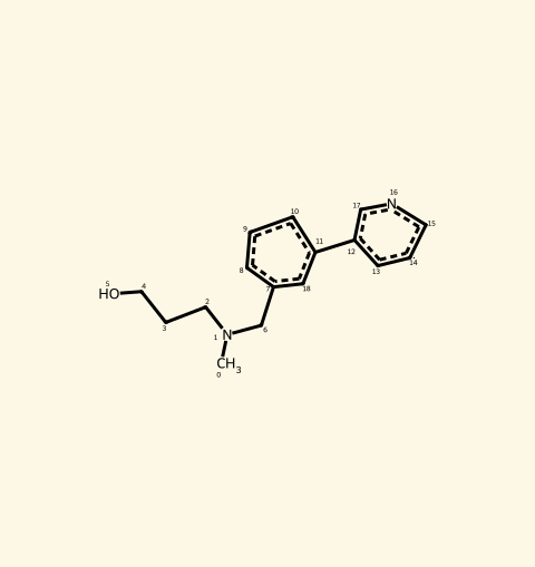 CN(CCCO)Cc1cccc(-c2c[c]cnc2)c1